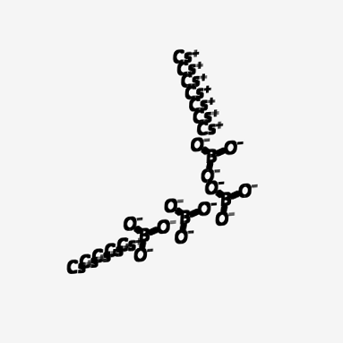 [Cs+].[Cs+].[Cs+].[Cs+].[Cs+].[Cs+].[Cs+].[Cs+].[Cs+].[Cs+].[Cs+].[Cs+].[O-]B([O-])[O-].[O-]B([O-])[O-].[O-]B([O-])[O-].[O-]B([O-])[O-]